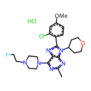 COc1ccc(-c2nc3c(N4CCN(CCF)CC4)nc(C)nc3n2C2CCOCC2)c(Cl)c1.Cl